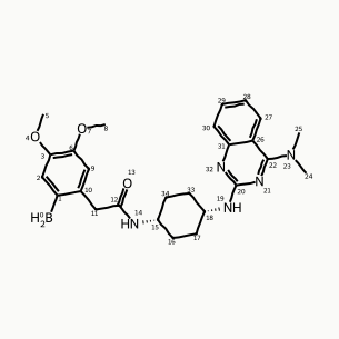 Bc1cc(OC)c(OC)cc1CC(=O)N[C@H]1CC[C@@H](Nc2nc(N(C)C)c3ccccc3n2)CC1